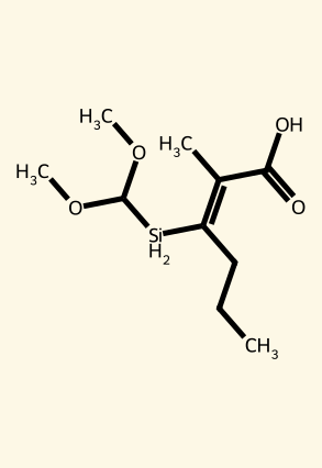 CCCC([SiH2]C(OC)OC)=C(C)C(=O)O